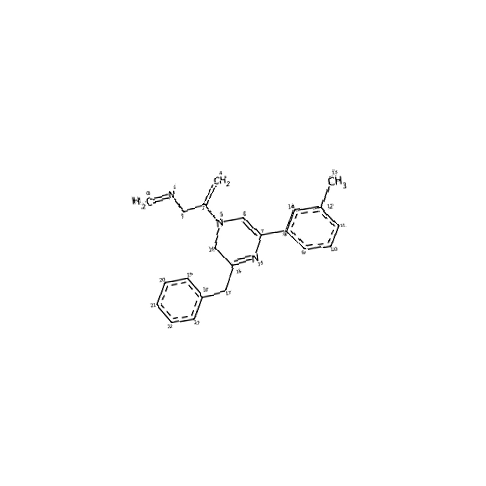 C=NCC(=C)N1C=C(c2cccc(C)c2)N=C(Cc2ccccc2)C1